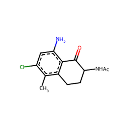 CC(=O)NC1CCc2c(C)c(Cl)cc(N)c2C1=O